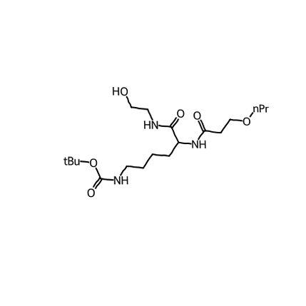 CCCOCCC(=O)NC(CCCCNC(=O)OC(C)(C)C)C(=O)NCCO